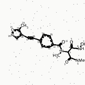 CNC(=O)C(C(=O)NO)N(C)C(=O)c1ccc(C#Cc2cnoc2C)cc1